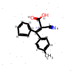 Cc1ccc(/C(=C(\C#N)C(=O)O)c2ccccc2)cc1